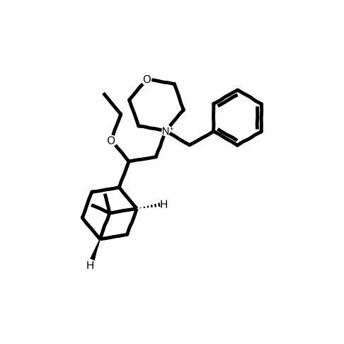 CCOC(C[N+]1(Cc2ccccc2)CCOCC1)C1CC[C@H]2C[C@H]1C2(C)C